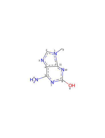 Cn1cnc2c(N)nc(O)nc21